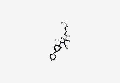 COCCCNS(=O)(=O)/C(C#N)=C(\C)c1ccc(N2CCOCC2)cc1